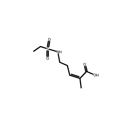 CCS(=O)(=O)NCCC=C(C)C(=O)O